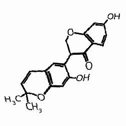 CC1(C)C=Cc2cc(C3COc4cc(O)ccc4C3=O)c(O)cc2O1